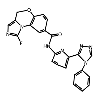 O=C(Nc1cccc(-c2nncn2-c2ccccc2)n1)c1ccc2c(c1)-n1c(cnc1F)CO2